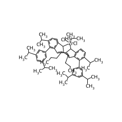 CCCCC1=Cc2c(ccc(C(C)C)c2-c2cc(C(C)C)cc(C(C)C)c2)[CH]1[Zr]([Cl])([Cl])([CH]1C(CCCC)=Cc2c1ccc(C(C)C)c2-c1cc(C(C)C)cc(C(C)C)c1)[SiH](C)C